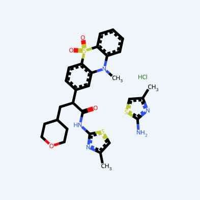 Cc1csc(N)n1.Cc1csc(NC(=O)C(CC2CCOCC2)c2ccc3c(c2)N(C)c2ccccc2S3(=O)=O)n1.Cl